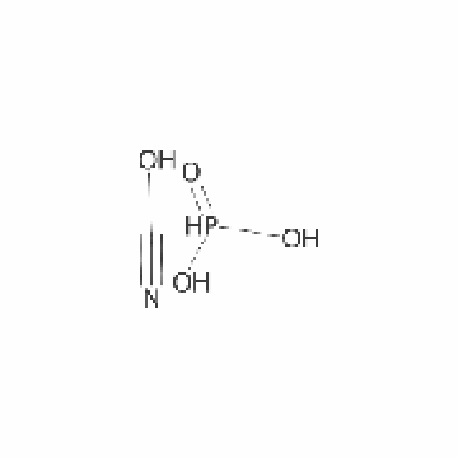 N#CO.O=[PH](O)O